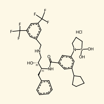 Cl.O=C(N[C@@H](Cc1ccccc1)[C@H](O)CNCc1cc(C(F)(F)F)cc(C(F)(F)F)c1)c1cc(C2CCCC2)cc(N2CCCS2(O)O)c1